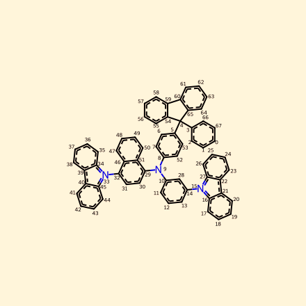 c1ccc(C2(c3ccc(N(c4cccc(-n5c6ccccc6c6ccccc65)c4)c4ccc(-n5c6ccccc6c6ccccc65)c5ccccc45)cc3)c3ccccc3-c3ccccc32)cc1